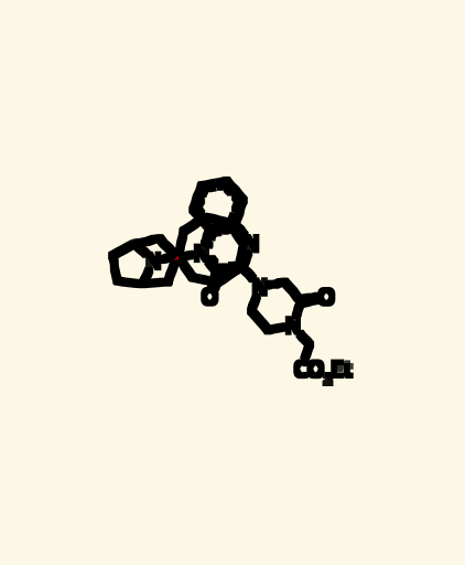 CCOC(=O)CN1CCN(c2nc3ccccc3n(C3CC4CCC(C3)N4C3CCCCCCC3)c2=O)CC1=O